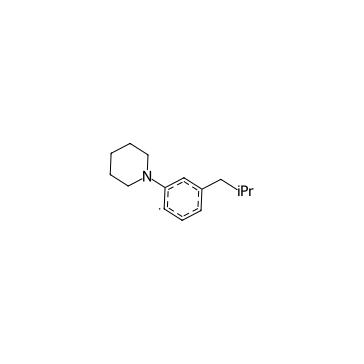 CC(C)Cc1cc[c]c(N2CCCCC2)c1